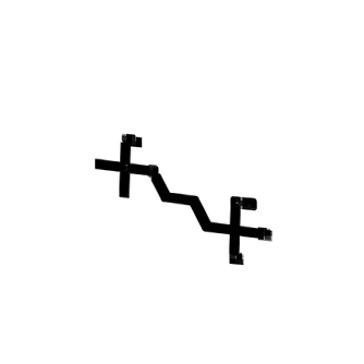 CCC(C=O)(CC)CCCO[Si](C)(C)C(C)(C)C